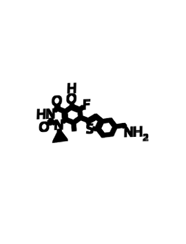 CC1c2c(c(=O)[nH]c(=O)n2C2CC2)C(O)=C(F)C1c1cc2c(s1)CCC(CN)C2